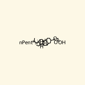 CCCCC[C@@H](C)[C@H]1CC[C@H]2[C@@H]3CC=C4CC(C5OC[C@@H](O)O5)CC[C@]4(C)[C@H]3CC[C@]12C